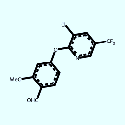 COc1cc(Oc2ncc(C(F)(F)F)cc2Cl)ccc1C=O